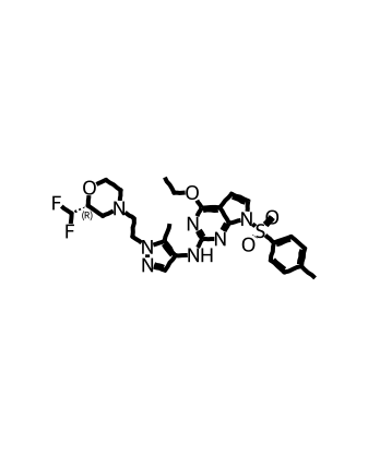 CCOc1nc(Nc2cnn(CCN3CCO[C@@H](C(F)F)C3)c2C)nc2c1ccn2S(=O)(=O)c1ccc(C)cc1